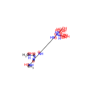 CB(O)NCCCCCO/B=N\CC(CCCCCCNC(=O)CCCCCCCCCCCCCCCCCCCCCCCNC(=O)CCC(=O)N(CCNC(=O)[C@@H](O)[C@H](O)[C@@H](O)[C@H](O)CO)CCNC(=O)[C@H](O)[C@@H](O)[C@H](O)[C@@H](O)CO)CN=C(B=O)CCCCNB(C)O